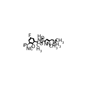 CC(C)c1cc(F)cc(C(C)NS(=O)(=O)c2cc(CN(C)C)n(C)n2)c1OC#N